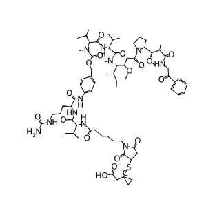 CC[C@H](C)[C@@H]([C@@H](CC(=O)N1CCC[C@H]1[C@H](OC)[C@@H](C)C(=O)NCC(=O)c1ccccc1)OC)N(C)C(=O)[C@@H](NC(=O)[C@H](C(C)C)N(C)C(=O)OCc1ccc(NC(=O)[C@H](CCCNC(N)=O)NC(=O)[C@@H](NC(=O)CCCCCN2C(=O)CC(SCC3(CC(=O)O)CC3)C2=O)C(C)C)cc1)C(C)C